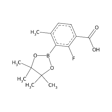 Cc1ccc(C(=O)O)c(F)c1B1OC(C)(C)C(C)(C)O1